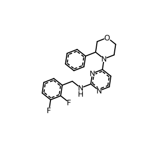 Fc1cccc(CNc2nccc(N3CCOCC3c3ccccc3)n2)c1F